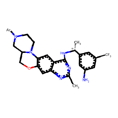 CC(=O)N1CCN2c3cc4c(N[C@H](C)c5cc(N)cc(C(F)(F)F)c5)nc(C)nc4cc3OCC2C1